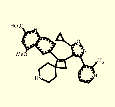 COc1cc(C(=O)O)nc2ccc(C3=C(c4c(-c5cccnc5C(F)(F)F)noc4C4CC4)CC34CCNCC4)cc12